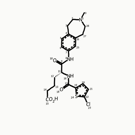 CN1CCc2ccc(NC(=O)[C@@H](CCCC(=O)O)NC(=O)c3ccc(Cl)s3)cc2CC1